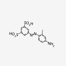 Cc1cc(N)ccc1/N=N/c1cc(S(=O)(=O)O)cc(S(=O)(=O)O)c1